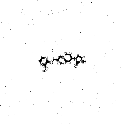 COc1nccnc1OCC(O)CN1CCC(N2CCNC2=O)CC1